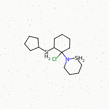 ClC1(N2CCCC[SiH2]2)CCCCC1[SiH2]C1CCCC1